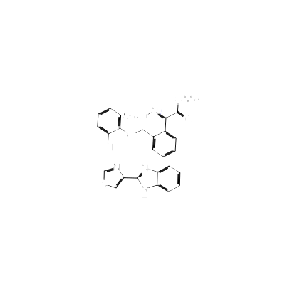 CO/N=C(/C(=O)OC)c1ccccc1COc1ccccc1C.c1ccc2[nH]c(-c3cscn3)nc2c1